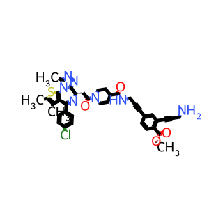 COC(=O)c1ccc(C#CCNC(=O)C2CCN(C(=O)C[C@@H]3N=C(c4ccc(Cl)cc4)c4c(sc(C)c4C)-n4c(C)nnc43)CC2)cc1C#CCN